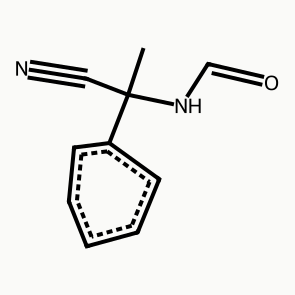 CC(C#N)(NC=O)c1ccccc1